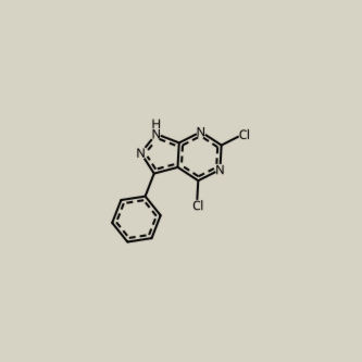 Clc1nc(Cl)c2c(-c3ccccc3)n[nH]c2n1